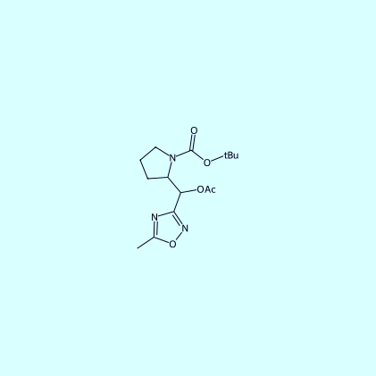 CC(=O)OC(c1noc(C)n1)C1CCCN1C(=O)OC(C)(C)C